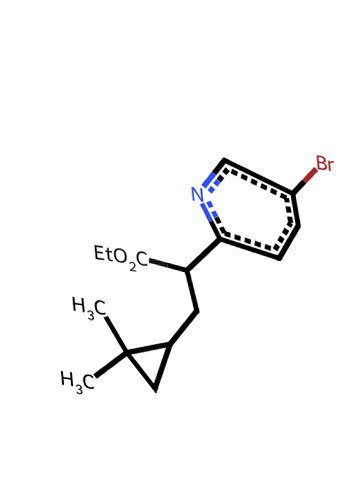 CCOC(=O)C(CC1CC1(C)C)c1ccc(Br)cn1